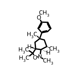 COc1cccc([C@@]2(C)C[C@@H]3[C@@H]([C@@H](C)C2)N(C)OC3(C)C)c1